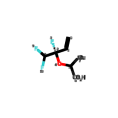 C=C[C@@](F)(OC(C(=O)O)C(C)(C)C)C(F)F